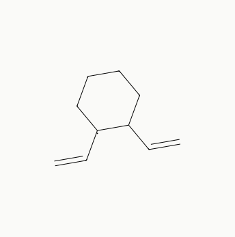 C=C[C]1CCCCC1C=C